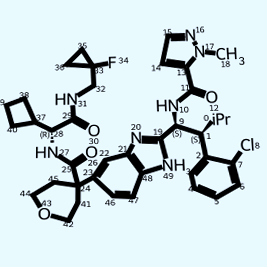 CC(C)[C@@H](c1ccccc1Cl)[C@H](NC(=O)c1ccnn1C)c1nc2cc(C3(C(=O)N[C@@H](C(=O)NCC4(F)CC4)C4CCC4)CCOCC3)ccc2[nH]1